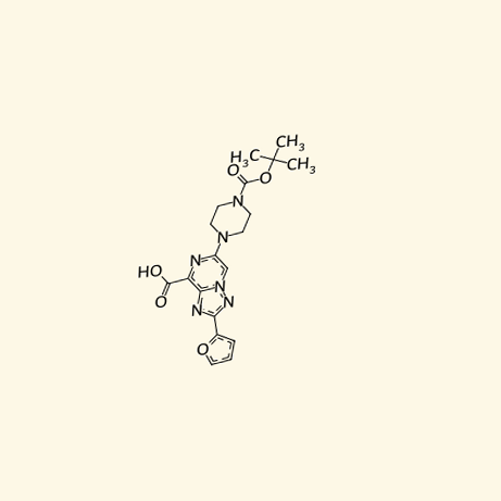 CC(C)(C)OC(=O)N1CCN(c2cn3nc(-c4ccco4)nc3c(C(=O)O)n2)CC1